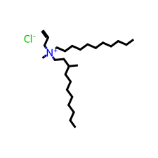 C=CC[N+](C)(CCCCCCCCCCC)CCC(C)CCCCCCCC.[Cl-]